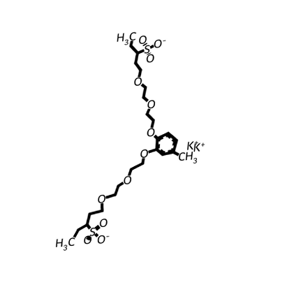 CCC(CCOCCOCCOc1ccc(C)cc1OCCOCCOCCC(CC)S(=O)(=O)[O-])S(=O)(=O)[O-].[K+].[K+]